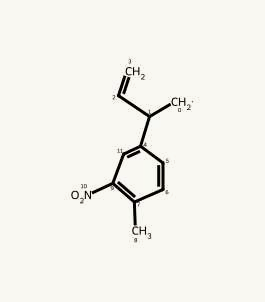 [CH2]C(C=C)c1ccc(C)c([N+](=O)[O-])c1